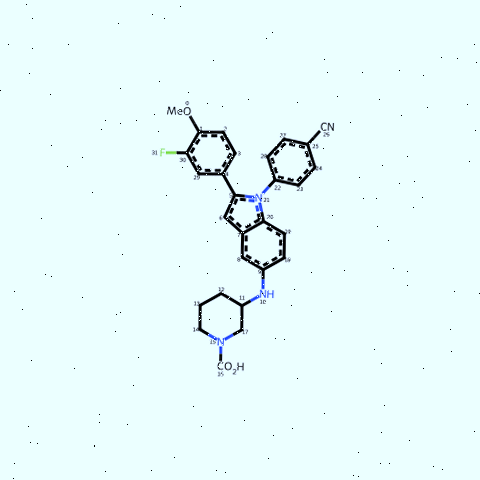 COc1ccc(-c2cc3cc(NC4CCCN(C(=O)O)C4)ccc3n2-c2ccc(C#N)cc2)cc1F